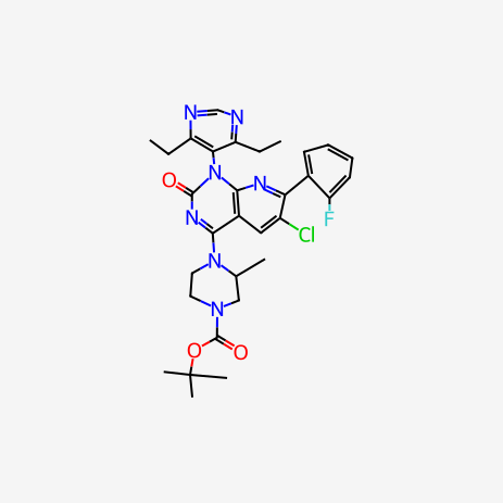 CCc1ncnc(CC)c1-n1c(=O)nc(N2CCN(C(=O)OC(C)(C)C)CC2C)c2cc(Cl)c(-c3ccccc3F)nc21